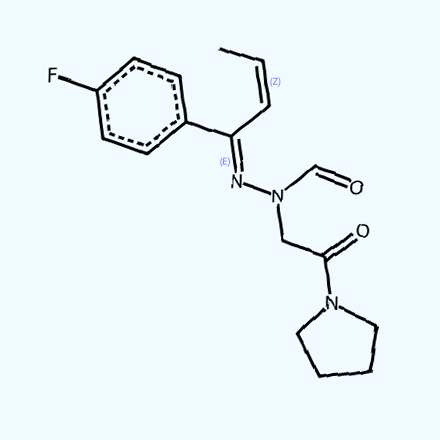 C/C=C\C(=N/N(C=O)CC(=O)N1CCCC1)c1ccc(F)cc1